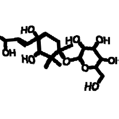 CC(O)C=CC1(O)CCC(C)(OC2OC(CO)C(O)C(O)C2O)C(C)(C)C1O